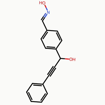 ON=Cc1ccc(C(O)C#Cc2ccccc2)cc1